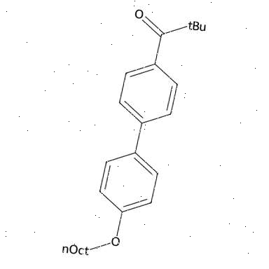 CCCCCCCCOc1ccc(-c2ccc(C(=O)C(C)(C)C)cc2)cc1